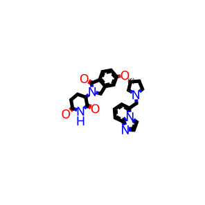 O=C1CCC(N2Cc3cc(O[C@H]4CCN(Cc5cccc6nccn56)C4)ccc3C2=O)C(=O)N1